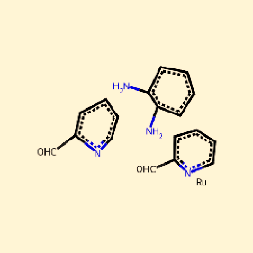 Nc1ccccc1N.O=Cc1ccccn1.O=Cc1ccccn1.[Ru]